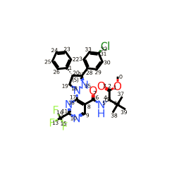 COC(=O)[C@@H](NC(=O)c1cnc(C(F)(F)F)nc1N1C[C@H](c2ccccc2)C(c2ccc(Cl)cc2)=N1)C(C)(C)C